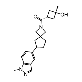 Cn1ncc2cc(C3CCC4(C3)CN(C(=O)[C@H]3C[C@@](C)(O)C3)C4)ccc21